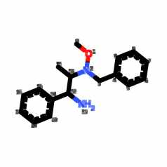 CON(Cc1ccccc1)C(C)C(N)c1ccccc1